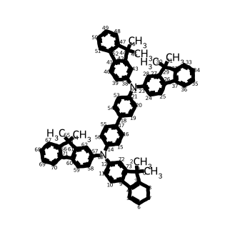 CC1(C)C2=C(C=CCC2)c2ccc(N(c3ccc(-c4ccc(N(c5ccc6c(c5)C(C)(C)c5ccccc5-6)c5ccc6c(c5)C(C)(C)c5ccccc5-6)cc4)cc3)c3ccc4c(c3)C(C)(C)c3ccccc3-4)cc21